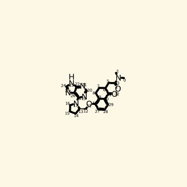 CN(C)C(=O)CC1CCc2c(OC[C@H]3CCCN3c3ncnc4[nH]cnc34)cccc2C1=O